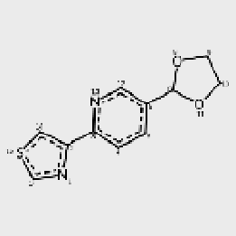 c1nc(-c2ccc(C3OCCO3)cn2)cs1